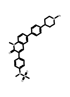 CC(C)N1CCC(c2ccc(-c3ccc4c(c3)cc(-c3ccc(N(C)S(C)(=O)=O)cc3)c(=O)n4C)cc2)CC1